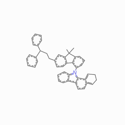 CC1(C)c2cc(CCC(c3ccccc3)c3ccccc3)ccc2-c2c(-n3c4ccccc4c4ccc5c(c43)=CCCC=5)cccc21